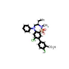 CC(C)C[C@@H]1CN(c2ccccc2)c2cc(Cl)c(-c3ccc(F)c(C(=O)O)c3)cc2S(=O)(=O)N1C